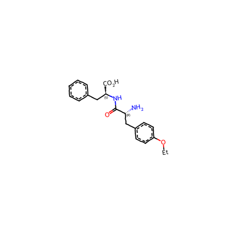 CCOc1ccc(C[C@@H](N)C(=O)N[C@@H](Cc2ccccc2)C(=O)O)cc1